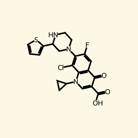 O=C(O)c1cn(C2CC2)c2c(Cl)c(N3CCNC(c4cccs4)C3)c(F)cc2c1=O